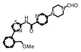 COCc1ccccc1-c1csc(NC(=O)c2ccc(N3CCN(C=O)CC3)cn2)n1